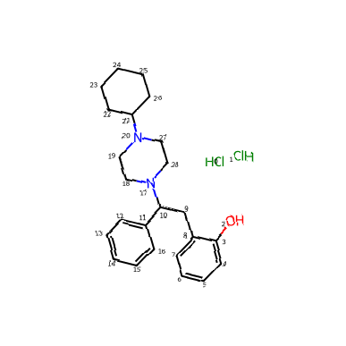 Cl.Cl.Oc1ccccc1CC(c1ccccc1)N1CCN(C2CCCCC2)CC1